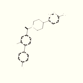 CCc1cc(C(=O)N2CCC(c3ccc(N)nn3)CC2)ccc1-c1ccc(C(F)(F)F)cc1